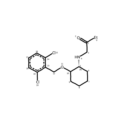 CCC(=O)CN[C@@H]1CCCCC1OCc1c(Cl)cccc1Cl